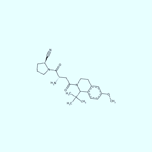 COc1ccc2c(c1)CCN(C(=O)C[C@H](N)C(=O)N1CCC[C@H]1C#N)C2C(C)(C)C